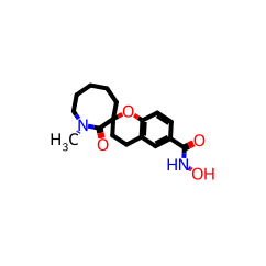 CN1CCCCCC2(CCc3cc(C(=O)NO)ccc3O2)C1=O